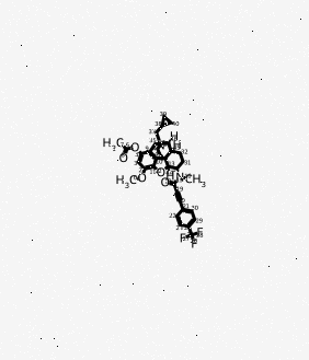 COc1cc(OC(C)=O)c2c3c1O[C@H]1[C@@H](N(C)C(=O)C#Cc4ccc(C(F)(F)F)cc4)CC[C@H]4[C@@H](C2)N(CC2CC2)CC[C@@]341